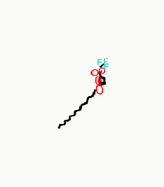 CCCCCCCCCCCCCCOc1ccc(C(=O)OCC(F)(F)F)o1